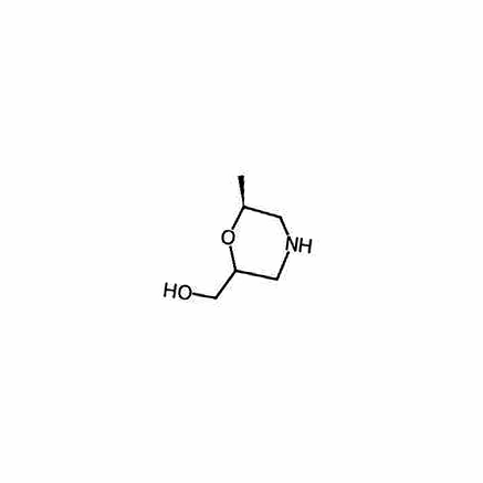 C[C@H]1CNCC(CO)O1